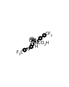 CC(C)(C)OC(=O)N1Cc2cc(OCc3ccc(C(F)(F)F)cc3)ccc2C[C@H]1C(=O)N[C@@H](Cc1ccc(-c2ccc(C(F)(F)F)cc2)cc1)C(=O)O